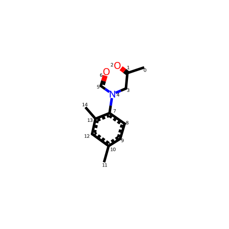 CC(=O)CN(C=O)c1ccc(C)cc1C